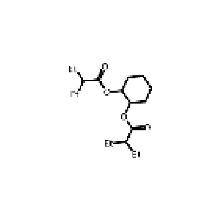 CCC(CC)C(=O)OC1CCCCC1OC(=O)C(CC)CC